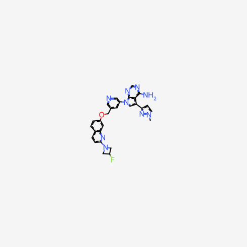 Cn1ccc(-c2cn(-c3cncc(COc4ccc5ccc(N6CC(F)C6)nc5c4)c3)c3ncnc(N)c23)n1